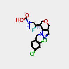 O=C(O)NC/C(F)=C1\COCc2cnn(Cc3ccc(Cl)cc3Cl)c21